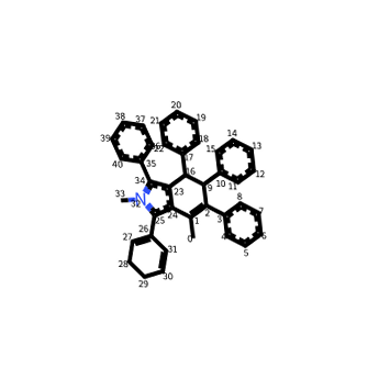 CC1=C(c2ccccc2)C(c2ccccc2)C(c2ccccc2)c2c1c(C1=CCCC=C1)n(C)c2-c1ccccc1